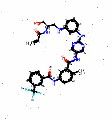 C=CC(=O)N[C@@H](CO)CNc1cccc(Nc2ncc(NC(=O)c3cc(NC(=O)c4cccc(C(F)(F)F)c4)ccc3C)cn2)c1